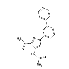 NC(=O)Nc1cn(-c2cccc(-c3ccncc3)c2)nc1C(N)=O